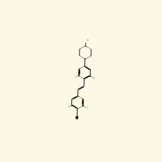 C#Cc1c(F)cc(/C=C/c2c(F)cc(C3CCC(CCC)CC3)cc2F)cc1F